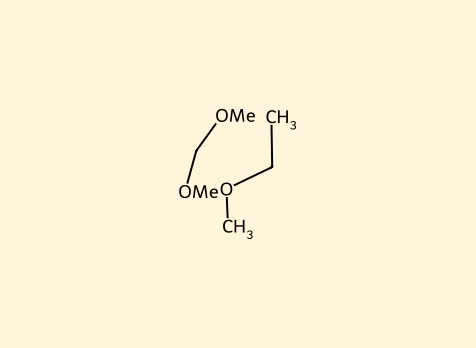 CCOC.COCOC